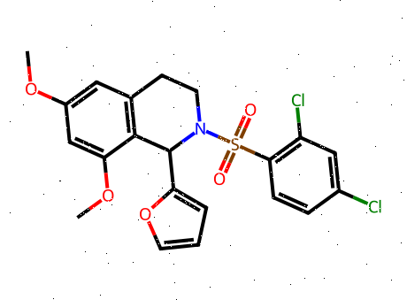 COc1cc2c(c(OC)c1)C(c1ccco1)N(S(=O)(=O)c1ccc(Cl)cc1Cl)CC2